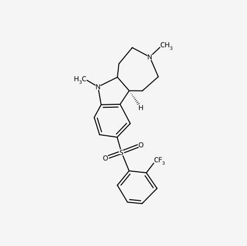 CN1CCC2[C@@H](CC1)c1cc(S(=O)(=O)c3ccccc3C(F)(F)F)ccc1N2C